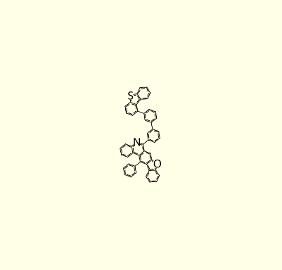 c1ccc(-c2c3c(cc4c(-c5cccc(-c6cccc(-c7cccc8sc9ccccc9c78)c6)c5)nc5ccccc5c24)oc2ccccc23)cc1